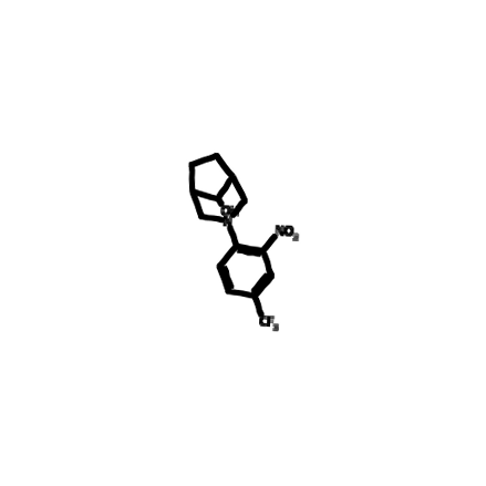 O=[N+]([O-])c1cc(C(F)(F)F)ccc1N1CC2CCC(C1)C2O